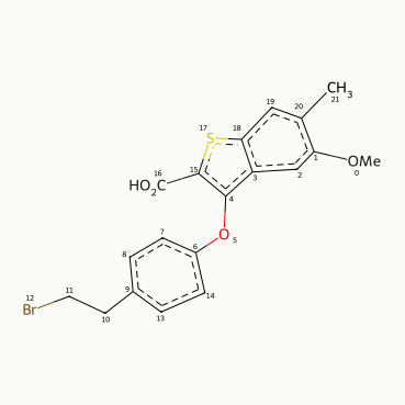 COc1cc2c(Oc3ccc(CCBr)cc3)c(C(=O)O)sc2cc1C